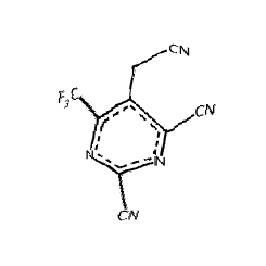 N#CCc1c(C#N)nc(C#N)nc1C(F)(F)F